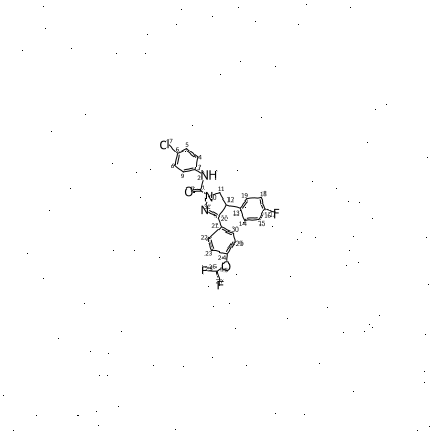 O=C(Nc1ccc(Cl)cc1)N1CC(c2ccc(F)cc2)C(c2ccc(OC(F)F)cc2)=N1